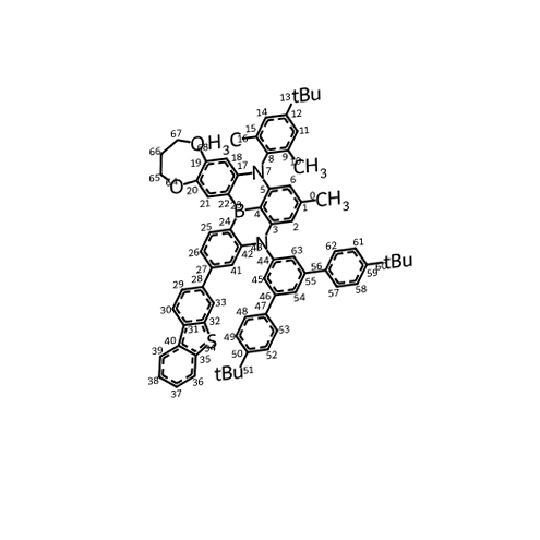 Cc1cc2c3c(c1)N(c1c(C)cc(C(C)(C)C)cc1C)c1cc4c(cc1B3c1ccc(-c3ccc5c(c3)sc3ccccc35)cc1N2c1cc(-c2ccc(C(C)(C)C)cc2)cc(-c2ccc(C(C)(C)C)cc2)c1)OCCCO4